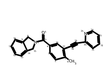 Cc1ccc(C(=O)N2Cc3ccccc3C2)cc1C#Cc1ccccn1